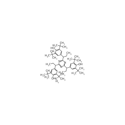 CCC(c1cc(C(C)(C)C)c(O)c(C(C)(C)C)c1)c1nc(C(CC)c2cc(C(C)(C)C)c(O)c(C(C)(C)C)c2)nc(C(CC)c2cc(C(C)(C)C)c(O)c(C(C)(C)C)c2)n1